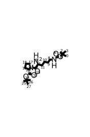 CC(C)(C)OC(=O)NCCCC[C@H](N)C(=O)N1CCC[C@H]1C(=O)OC(C)(C)C